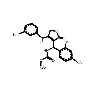 CC(C)(C)OC(=O)N[C@@H](C1=C(Nc2cccc(C(F)(F)F)c2)COC1=O)c1ccc(C#N)cc1Br